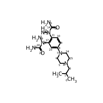 C[C](C)CN1CCN(c2ccc(N(N)C(N)=O)c(N(N)C(N)=O)c2)CC1